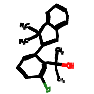 CC(C)(O)c1c(Cl)cccc1C1=Cc2ccccc2C1(C)C